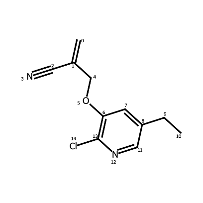 C=C(C#N)COc1cc(CC)cnc1Cl